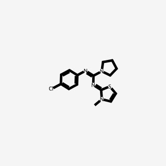 Cn1ccsc1=NC(=Nc1ccc(Cl)cc1)N1CCCC1